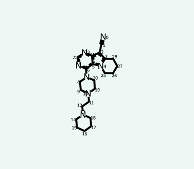 N#Cc1c2n(c3c(N4CCN(CCN5CCCCC5)CC4)ncnc13)CCCC2